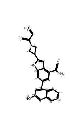 C=CC(=O)N1CC(c2cc3c(C(N)=O)cc(-c4cc(O)cc5ccccc45)cc3[nH]2)C1